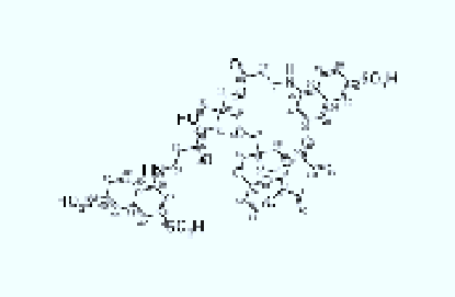 C=CC(=O)OCC(COCC(CO)(COC(=O)CCNc1cccc2cc(S(=O)(=O)O)ccc12)COC(=O)CCNc1cc(S(=O)(=O)O)cc2cc(S(=O)(=O)O)ccc12)(COC(=O)C=C)COC(=O)C=C